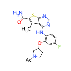 CC(=O)N1CC[C@@H](Oc2cc(F)ccc2Nc2ncnc3sc(C(N)=O)c(C)c23)C1